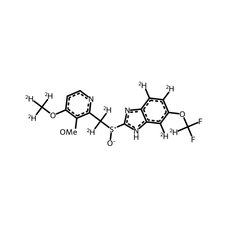 [2H]c1c(OC([2H])(F)F)c([2H])c2[nH]c([S+]([O-])C([2H])([2H])c3nccc(OC([2H])([2H])[2H])c3OC)nc2c1[2H]